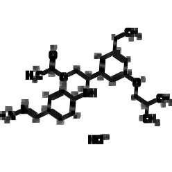 CCc1cc(OCC(C)C)cc(C(COC(C)=O)Nc2ccc(C=NN)cc2)c1.Cl